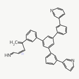 C=C(/C=C\C=N)c1cccc(-c2cc(-c3cccc(-c4cccnc4)c3)cc(-c3cccc(-c4cccnc4)c3)c2)c1